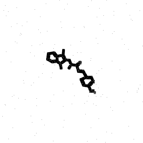 Cc1c(CN(C)C(=O)C=Cc2ccc(N)nc2)n(C)c2ccccc12